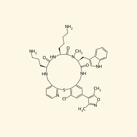 Cc1noc(C)c1-c1cc(Cl)c2c(c1)CNC(=O)[C@H](Cc1c[nH]c3ccccc13)N(C)C(=O)[C@H](CCCCN)NC(=O)[C@H](CCCN)NCc1cccnc1S2